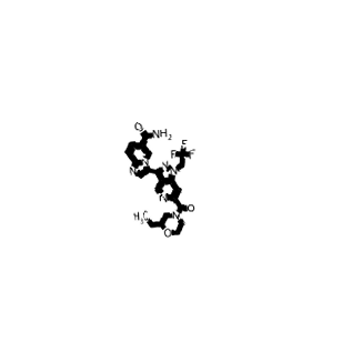 CCC1CN(C(=O)c2cc3c(cn2)c(-c2cnc4ccc(C(N)=O)cn24)nn3CC(F)(F)F)CCO1